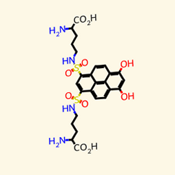 NC(CCCNS(=O)(=O)c1cc(S(=O)(=O)NCCCC(N)C(=O)O)c2ccc3c(O)cc(O)c4ccc1c2c43)C(=O)O